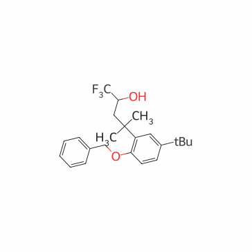 CC(C)(C)c1ccc(OCc2ccccc2)c(C(C)(C)CC(O)C(F)(F)F)c1